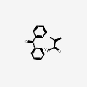 C=C(C)C(N)=O.O=C(c1ccccc1)c1ccccc1